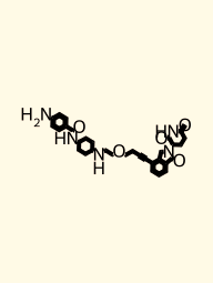 Nc1ccc(C(=O)NC2CCC(NCCOCCC#Cc3cccc4c3CN(C3CCC(=O)NC3=O)C4=O)CC2)cc1